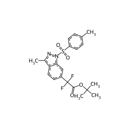 Cc1ccc(S(=O)(=O)n2nc(C)c3ccc(C(F)(F)C(=O)OC(C)(C)C)cc32)cc1